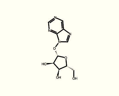 OC[C@H]1O[C@@H](On2cnc3cncnc32)[C@H](O)[C@@H]1O